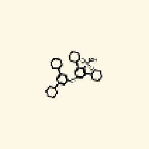 O=S(=O)(O)c1c(C2CCCCC2)cc(Oc2cc(C3CCCCC3)cc(C3CCCCC3)c2)cc1C1CCCCC1